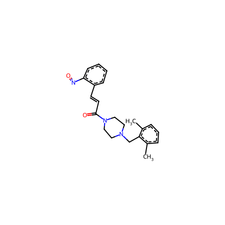 Cc1cccc(C)c1CN1CCN(C(=O)/C=C/c2ccccc2N=O)CC1